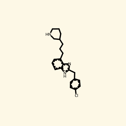 Clc1ccc(Cc2nc3c(CCCC4CCCNC4)cccc3[nH]2)cc1